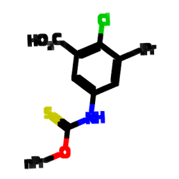 CCCOC(=S)Nc1cc(C(=O)O)c(Cl)c(C(C)C)c1